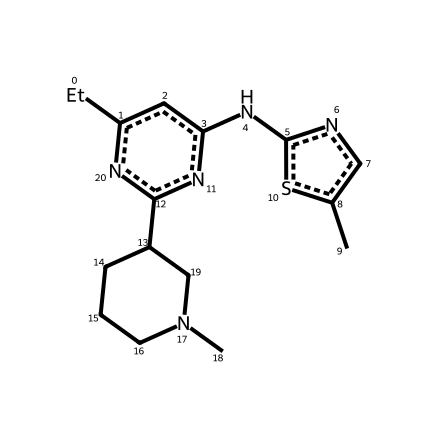 CCc1cc(Nc2ncc(C)s2)nc(C2CCCN(C)C2)n1